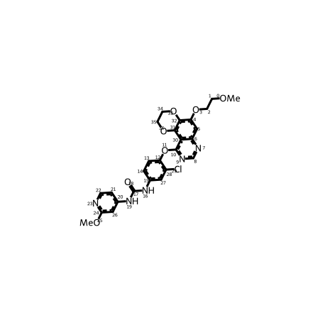 COCCOc1cc2ncnc(Oc3ccc(NC(=O)Nc4ccnc(OC)c4)cc3Cl)c2c2c1OCCO2